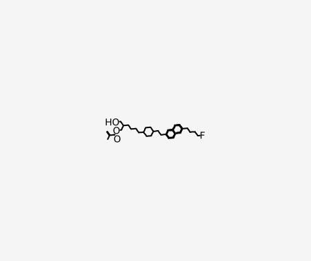 C=C(C)C(=O)OCC(CO)CCCCC1CCC(CCc2ccc3cc(CCCCF)ccc3c2)CC1